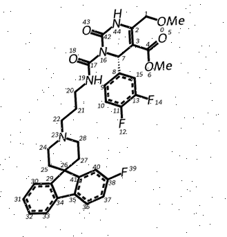 COCC1=C(C(=O)OC)[C@H](c2ccc(F)c(F)c2)N(C(=O)NCCCN2CCC3(CC2)c2ccccc2-c2ccc(F)cc23)C(=O)N1